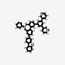 c1ccc(N2Cc3cc(-c4ccc5c(c4)oc4ccccc45)ccc3-c3cc(-c4cc(-c5cccnc5)cc(-c5cccnc5)c4)ccc3C2)cc1